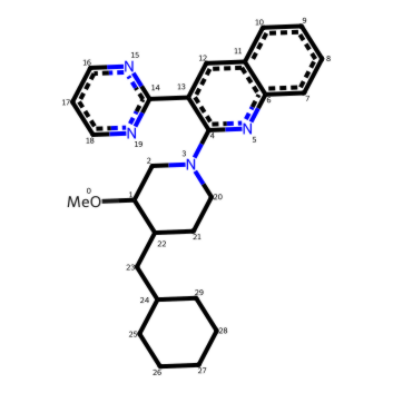 COC1CN(c2nc3ccccc3cc2-c2ncccn2)CCC1CC1CCCCC1